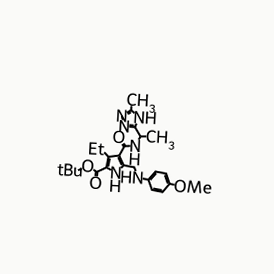 CCc1c(C(=O)OC(C)(C)C)[nH]c(CNc2ccc(OC)cc2)c1C(=O)NC(C)c1nnc(C)[nH]1